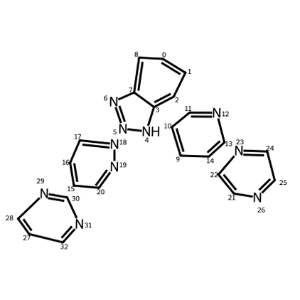 c1ccc2[nH]nnc2c1.c1ccncc1.c1ccnnc1.c1cnccn1.c1cncnc1